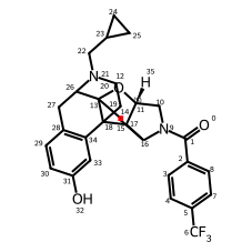 O=C(c1ccc(C(F)(F)F)cc1)N1C[C@H]2OC34CCC1C2C31CCN(CC2CC2)C4Cc2ccc(O)cc21